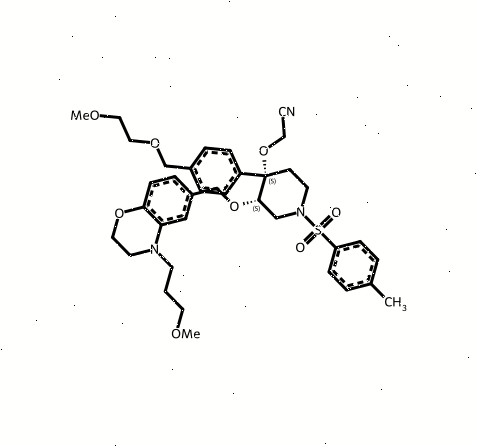 COCCCN1CCOc2ccc(CO[C@H]3CN(S(=O)(=O)c4ccc(C)cc4)CC[C@]3(OCC#N)c3ccc(COCCOC)cc3)cc21